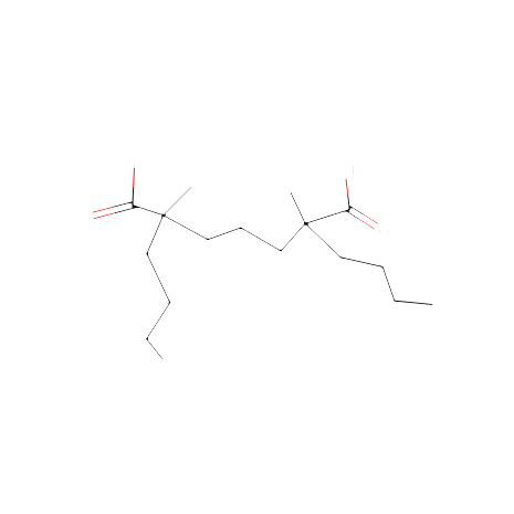 CCCCC(C)(CCCC(C)(CCCC)C(=O)O)C(=O)O